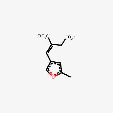 CCOC(=O)C(=Cc1coc(C)c1)CC(=O)O